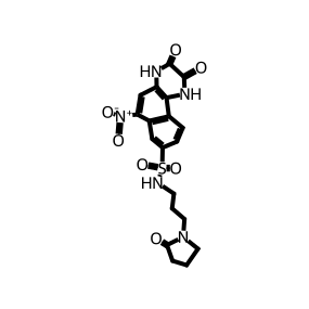 O=C1CCCN1CCCNS(=O)(=O)c1ccc2c(c1)c([N+](=O)[O-])cc1[nH]c(=O)c(=O)[nH]c12